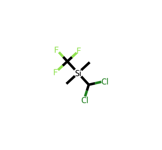 C[Si](C)(C(Cl)Cl)C(F)(F)F